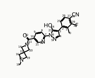 Cc1c(-c2cnn(-c3ccc(C(=O)N4CC5(CN(C)C5)C4)cn3)c2O)ccc(C#N)c1F